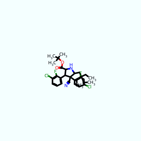 CCC(CC)(CC)CC1NC(C(=O)OC(C)(C)C)C(c2cccc(Cl)c2F)C1(C#N)c1ccc(Cl)cc1F